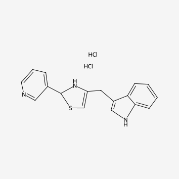 C1=C(Cc2c[nH]c3ccccc23)NC(c2cccnc2)S1.Cl.Cl